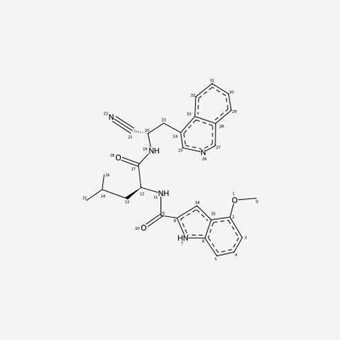 COc1cccc2[nH]c(C(=O)N[C@@H](CC(C)C)C(=O)N[C@H](C#N)Cc3cncc4ccccc34)cc12